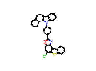 Clc1cc2oc(-c3ccc(-n4c5ccccc5c5ccc6ccccc6c54)cc3)nc2c2c1sc1ccccc12